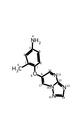 Cc1cc(N)ccc1Oc1cnc2ncnn2c1